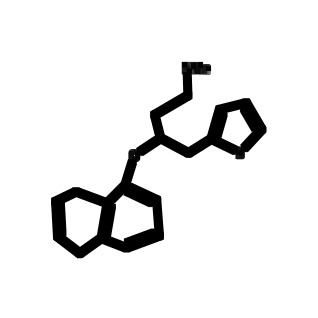 CNCCC(Cc1cccs1)Oc1cccc2c1CC=CC2